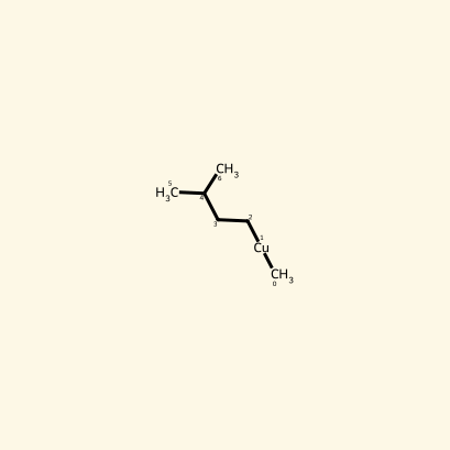 [CH3][Cu][CH2]CC(C)C